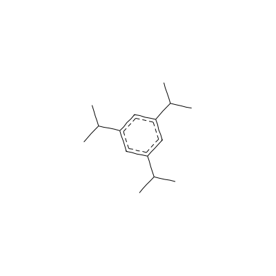 CC(C)c1cc(C(C)C)cc(C(C)C)c1